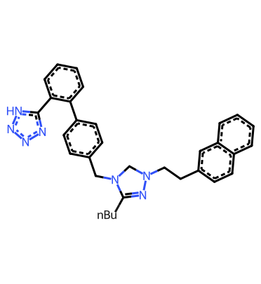 CCCCC1=NN(CCc2ccc3ccccc3c2)CN1Cc1ccc(-c2ccccc2-c2nnn[nH]2)cc1